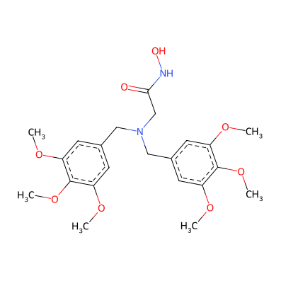 COc1cc(CN(CC(=O)NO)Cc2cc(OC)c(OC)c(OC)c2)cc(OC)c1OC